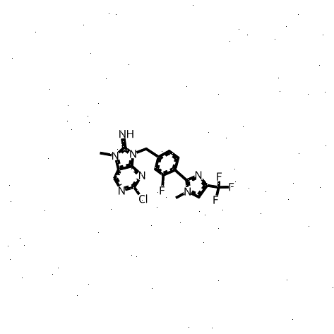 Cn1cc(C(F)(F)F)nc1-c1ccc(Cn2c(=N)n(C)c3cnc(Cl)nc32)cc1F